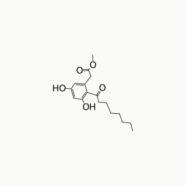 CCCCCCCC(=O)c1c(O)cc(O)cc1CC(=O)OC